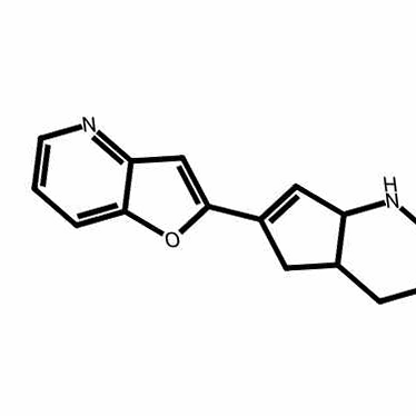 C1=C(c2cc3ncccc3o2)CC2CCCNC12